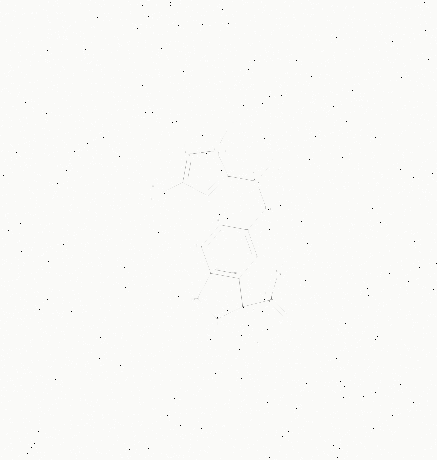 Cc1cc(N(C)Cc2ccc3c(c2)[C@@](O)(C(N)=O)CC3)n(C)n1